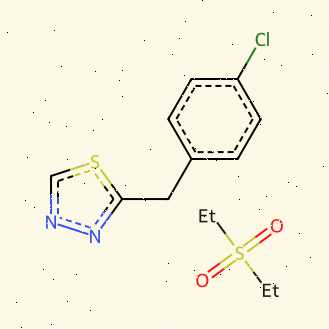 CCS(=O)(=O)CC.Clc1ccc(Cc2nncs2)cc1